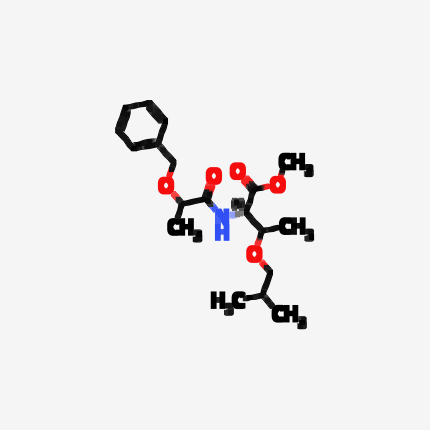 COC(=O)[C@@H](NC(=O)C(C)OCc1ccccc1)C(C)OCC(C)C